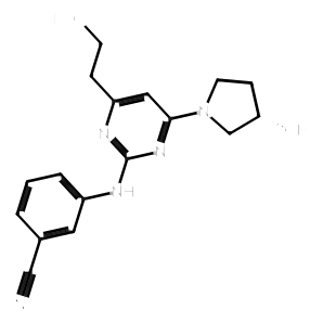 CCCc1cc(N2CC[C@H](O)C2)nc(Nc2cccc(C#N)c2)n1